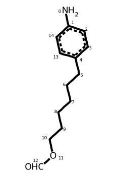 Nc1ccc(CCCCCCOC=O)cc1